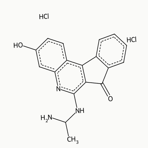 CC(N)Nc1nc2cc(O)ccc2c2c1C(=O)c1ccccc1-2.Cl.Cl